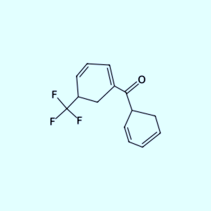 O=C(C1=CC=CC(C(F)(F)F)C1)C1C=CC=CC1